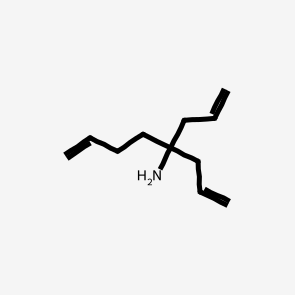 C=CCCC(N)(CC=C)CC=C